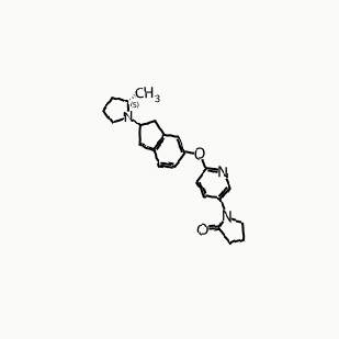 C[C@H]1CCCN1C1Cc2ccc(Oc3ccc(N4CCCC4=O)cn3)cc2C1